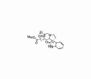 CC[C@@H]1CN2CC[C@]3(C(=O)NC4C=CC=CC43)C2C[C@@H]1C(C)(OC)C(=O)OC